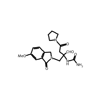 COc1ccc2c(c1)C(=O)N(CC(C=O)(CC(=O)N1CCCC1)NC(N)=O)C2